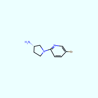 N[C@H]1CCN(c2ccc(Br)cn2)C1